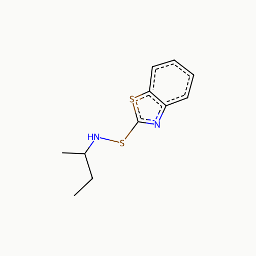 CCC(C)NSc1nc2ccccc2s1